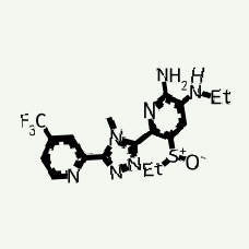 CCNc1cc([S+]([O-])CC)c(-c2nnc(-c3cc(C(F)(F)F)ccn3)n2C)nc1N